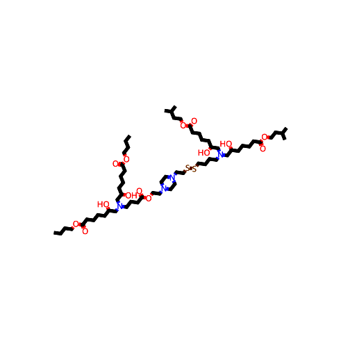 CCCCOC(=O)CCCCC(O)CN(CCCC(=O)OCCN1CCN(CCSSCCCCN(CC(O)CCCCC(=O)OCCC(C)C)CC(O)CCCCC(=O)OCCC(C)C)CC1)CC(O)CCCCC(=O)OCCCC